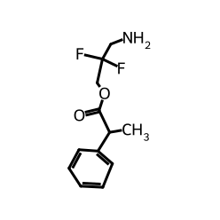 CC(C(=O)OCC(F)(F)CN)c1ccccc1